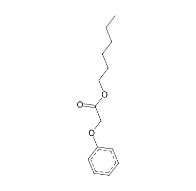 CCCCCCOC(=O)COc1ccccc1